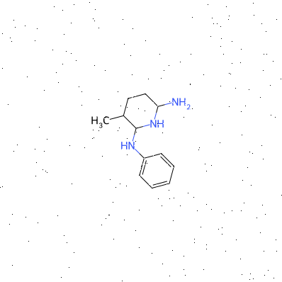 CC1CCC(N)NC1Nc1ccccc1